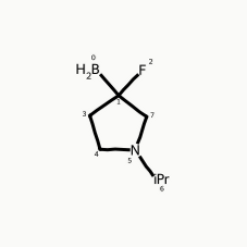 BC1(F)CCN(C(C)C)C1